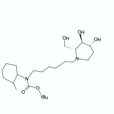 CC1CCCCC1N(CCCCCCN1CC[C@@H](O)[C@H](O)[C@H]1CO)C(=O)OC(C)(C)C